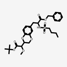 CCCCS(=O)(=O)NC(Cc1ccc2c(c1)OCC(C(OC)C(=O)OC(C)(C)C)O2)C(=O)OCc1ccccc1